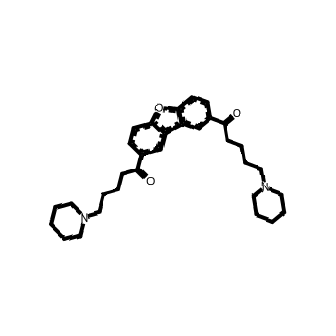 O=C(CCCCN1CCCCC1)c1ccc2oc3ccc(C(=O)CCCCN4CCCCC4)cc3c2c1